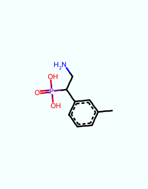 Cc1cccc(C(CN)P(=O)(O)O)c1